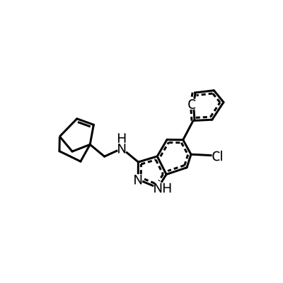 Clc1cc2[nH]nc(NCC34C=CC(CC3)C4)c2cc1-c1ccccc1